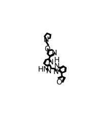 c1cc(-c2ccoc2)c2nc(-c3n[nH]c4ccc(-c5cncc(OCCN6CCCC6)c5)nc34)[nH]c2c1